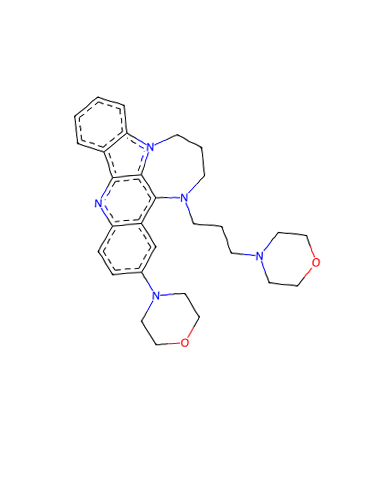 c1ccc2c(c1)c1nc3ccc(N4CCOCC4)cc3c3c1n2CCCN3CCCN1CCOCC1